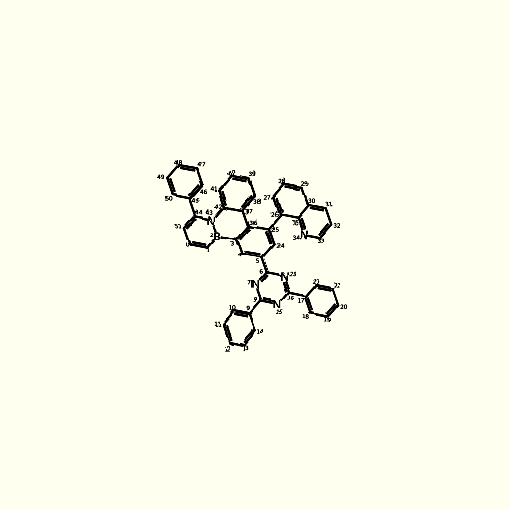 C1=CB2c3cc(-c4nc(-c5ccccc5)nc(-c5ccccc5)n4)cc(-c4cccc5cccnc45)c3-c3ccccc3N2C(c2ccccc2)=C1